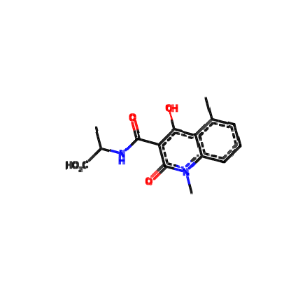 Cc1cccc2c1c(O)c(C(=O)NC(C)C(=O)O)c(=O)n2C